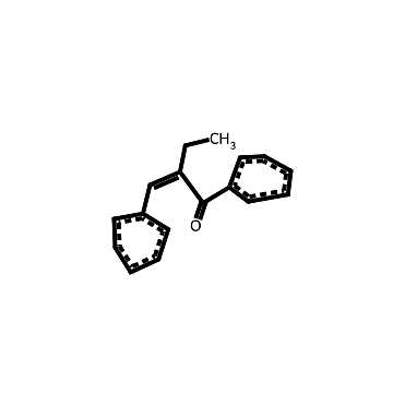 CCC(=Cc1ccccc1)C(=O)c1ccccc1